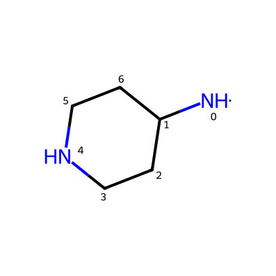 [NH]C1CCNCC1